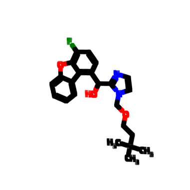 C[Si](C)(C)CCOCn1ccnc1C(O)c1ccc(F)c2oc3ccccc3c12